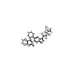 CC1(S(=O)(=O)NC(=O)c2cnc3ccc(N4CCCCC4c4cc(F)cc5c4OCCO5)cn23)CC1